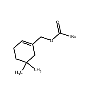 CC1(C)CCC=C(COC(=O)C(C)(C)C)C1